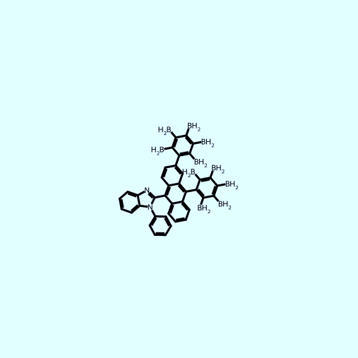 Bc1c(B)c(B)c(-c2ccc3c(-c4nc5ccccc5n4-c4ccccc4)c4ccccc4c(-c4c(B)c(B)c(B)c(B)c4B)c3c2)c(B)c1B